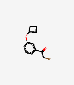 O=C(CBr)c1cccc(OC2CCC2)c1